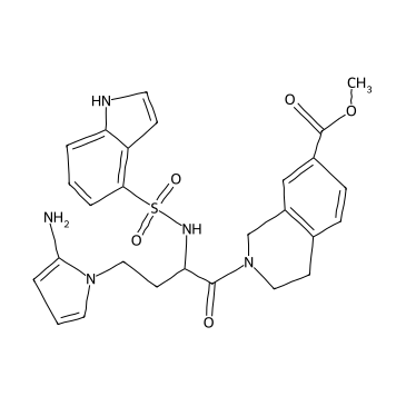 COC(=O)c1ccc2c(c1)CN(C(=O)C(CCn1cccc1N)NS(=O)(=O)c1cccc3[nH]ccc13)CC2